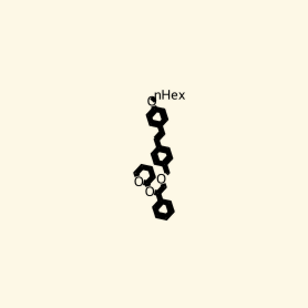 CCCCCCOc1ccc(C=Cc2ccc(COCC(OC3CCCCO3)c3ccccc3)cc2)cc1